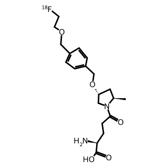 C[C@@H]1C[C@@H](OCc2ccc(COCC[18F])cc2)CN1C(=O)CC[C@H](N)C(=O)O